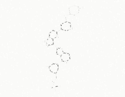 CS(=O)(=O)NCc1cc(F)cc(-c2nccc3[nH]c(-c4n[nH]c5ccc(-c6cncc(OC7CCNCC7)c6)nc45)cc23)c1